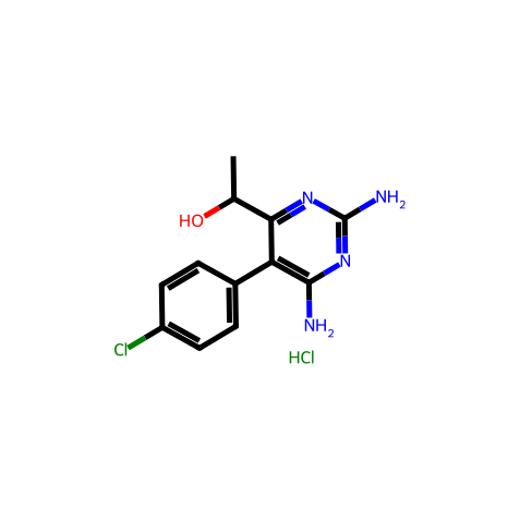 CC(O)c1nc(N)nc(N)c1-c1ccc(Cl)cc1.Cl